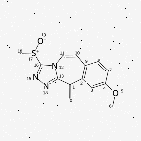 C=C1c2cc(OC)ccc2C=Cn2c1nnc2[S+](C)[O-]